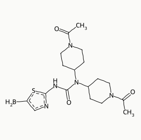 Bc1cnc(NC(=O)N(C2CCN(C(C)=O)CC2)C2CCN(C(C)=O)CC2)s1